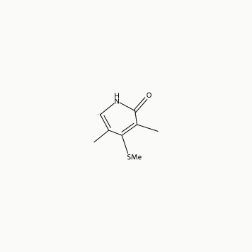 CSc1c(C)[c][nH]c(=O)c1C